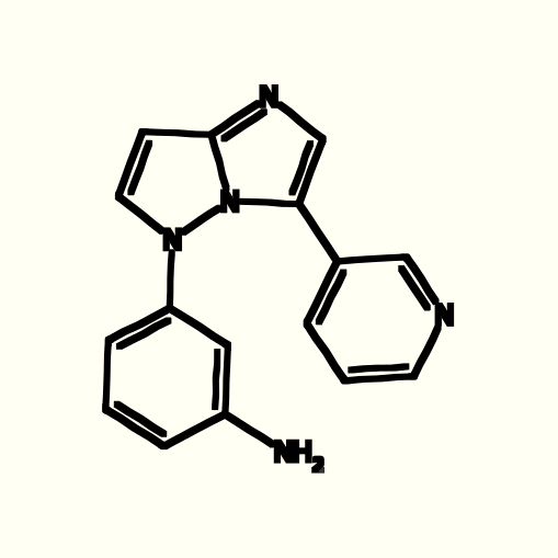 Nc1cccc(-n2ccc3ncc(-c4cccnc4)n32)c1